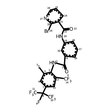 O=C(Nc1c(I)cc(C(F)(C(F)(F)F)C(F)(F)F)cc1C(F)(F)F)c1cccc(NC(=O)c2cccnc2Br)c1